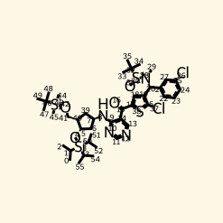 CC(C)[Si](O[C@H]1C[C@H](Nc2ncncc2C(=O)c2cc([C@H](c3cccc(Cl)c3)N(C)[S+]([O-])C(C)(C)C)c(Cl)s2)C[C@@H]1CO[Si](C)(C)C(C)(C)C)(C(C)C)C(C)C